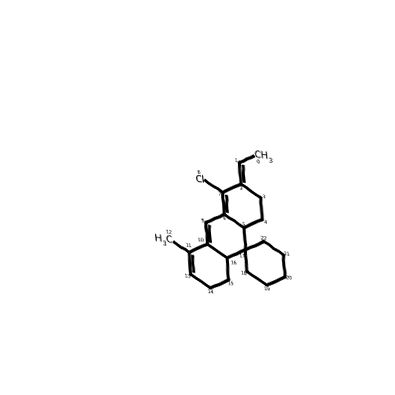 C/C=C1\CCC2C(=C1Cl)C=C1C(C)=CCCC1C21CCCCC1